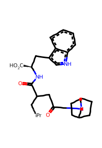 CC(C)CC(CC(=O)N1CC2CCC(CC2)C1)C(=O)N[C@H](Cc1c[nH]c2ccccc12)C(=O)O